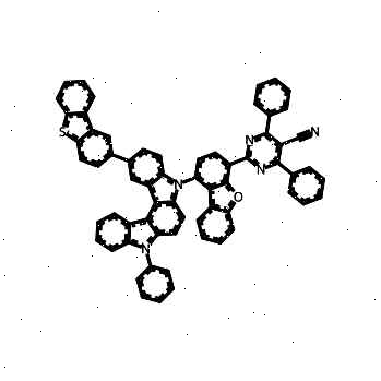 N#Cc1c(-c2ccccc2)nc(-c2ccc(-n3c4ccc(-c5ccc6sc7ccccc7c6c5)cc4c4c5c6ccccc6n(-c6ccccc6)c5ccc43)c3c2oc2ccccc23)nc1-c1ccccc1